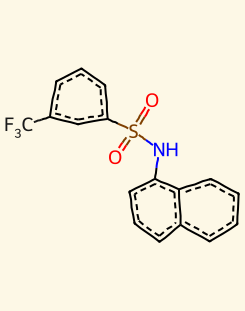 O=S(=O)(Nc1cccc2ccccc12)c1cccc(C(F)(F)F)c1